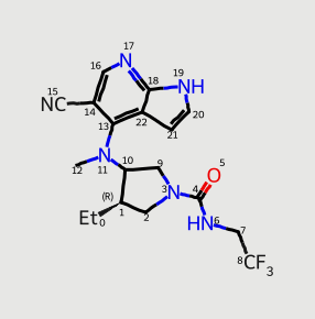 CC[C@@H]1CN(C(=O)NCC(F)(F)F)CC1N(C)c1c(C#N)cnc2[nH]ccc12